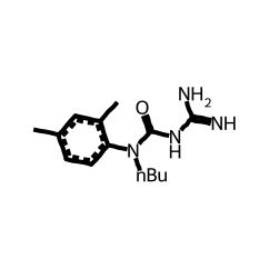 CCCCN(C(=O)NC(=N)N)c1ccc(C)cc1C